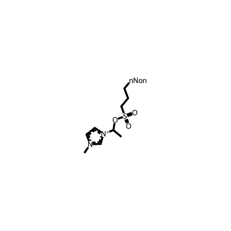 CCCCCCCCCCCCS(=O)(=O)OC(C)[n+]1ccn(C)c1